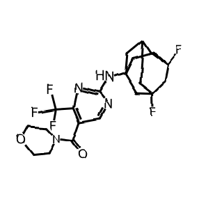 O=C(c1cnc(NC23CCC4(F)CC(CC(F)(C4)C2)C3)nc1C(F)(F)F)N1CCOCC1